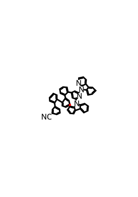 N#Cc1cccc(-c2ccccc2-c2ccccc2-c2ccccc2-c2cc(-n3c4ccccc4c4ccccc43)nc(-n3c4ccccc4c4cccnc43)c2)c1